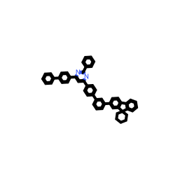 c1ccc(-c2ccc(-c3cc(-c4ccc(-c5cccc(-c6ccc7c(c6)C6(CCCCC6)c6ccccc6-7)c5)cc4)nc(-c4ccccc4)n3)cc2)cc1